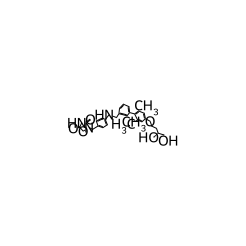 Cc1cc(OCC[C@H](O)CO)cc(C)c1-c1cccc(CNc2ccc(Cn3oc(=O)[nH]c3=O)cc2)c1C